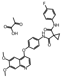 CC(=O)C(=O)O.COc1cc2nccc(Oc3ccc(NC(=O)C4(C(=O)Nc5ccc(F)cc5)CC4)cc3)c2cc1OC